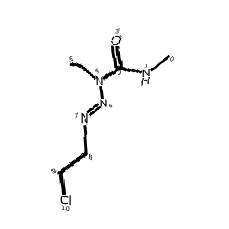 CNC(=O)N(C)N=NCCCl